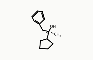 C[C@@](O)(Cc1ccccc1)C1CCCC1